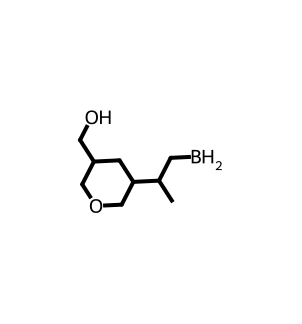 BCC(C)C1COCC(CO)C1